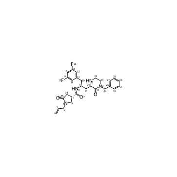 C=CCN1C[C@@H](C(=O)N[C@@H](Cc2cc(F)cc(F)c2)CC2NCCN(Cc3ccccc3)C2=O)CC1=O